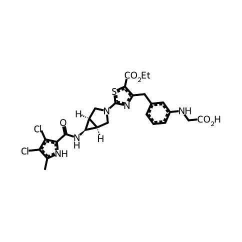 CCOC(=O)c1sc(N2C[C@@H]3[C@H](C2)[C@@H]3NC(=O)c2[nH]c(C)c(Cl)c2Cl)nc1Cc1cccc(NCC(=O)O)c1